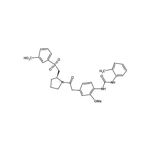 COc1cc(CC(=O)N2CCC[C@H]2CS(=O)(=O)c2cccc(C(=O)O)c2)ccc1NC(=O)Nc1ccccc1C